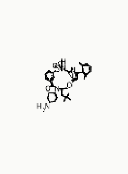 Cc1cccc(C)c1-c1cc2nc(n1)NS(=O)(=O)c1cccc(c1)C(=O)N([C@H]1CC[C@@H](N)CC1)[C@H](CC(C)(C)C)CO2